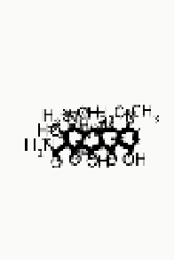 CN(C)c1ccc(O)c2c1C[C@H]1C[C@@H]3[C@@H](C(=O)C(C(N)=O)=C(O)[C@H]3N(C)C)C(O)=C1C2=O